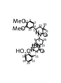 COc1ccc(C2=NN(C3CCN(C(=O)[C@H](Cc4ccccc4)N(C(=O)O)C(C)(C)C)CC3)C(=O)C(C)(C)C2)cc1OC